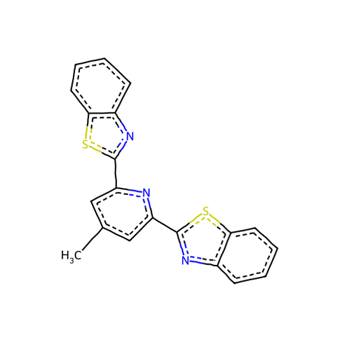 Cc1cc(-c2nc3ccccc3s2)nc(-c2nc3ccccc3s2)c1